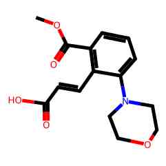 COC(=O)c1cccc(N2CCOCC2)c1/C=C/C(=O)O